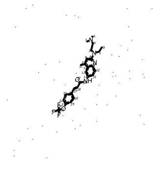 CCN(CCN(C)C)c1cc(C)c2cc(NC(=O)C=Cc3ccc(OC(F)(F)F)cc3)ccc2n1